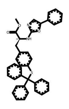 COC(=O)[C@H](Cc1ccc(SC(c2ccccc2)(c2ccccc2)c2ccccc2)cc1)Nc1ncc(-c2ccccc2)o1